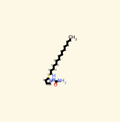 CCCCCCCCCCCCCCCCSC1CCCN1NC(N)=O